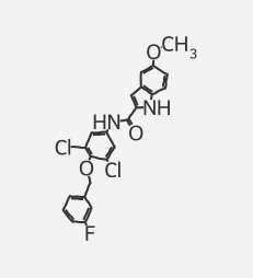 COc1ccc2[nH]c(C(=O)Nc3cc(Cl)c(OCc4cccc(F)c4)c(Cl)c3)cc2c1